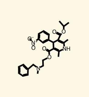 CC1=C(C(=O)OCCN(C)Cc2ccccc2)C(c2cccc([N+](=O)[O-])c2)C(C(=O)OC(C)C)=C(C)N1